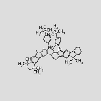 CC(C)(C)c1ccc(N2B3c4cc(C(C)(C)C)ccc4-n4c5cc6c(cc5c5ccc(c3c54)-c3cc4c(cc32)sc2cc3c(cc24)C(C)(C)CCC3(C)C)C(C)(C)c2ccccc2-6)cc1